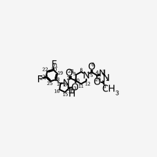 Cc1nnc(C(=O)N2CCC3(CC2)O[C@@H]2CC[C@@H](c4cc(F)cc(F)c4)N2C3=O)o1